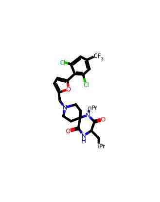 CCCN1C(=O)C(CC(C)C)NC(=O)C12CCN(Cc1ccc(-c3c(Cl)cc(C(F)(F)F)cc3Cl)o1)CC2